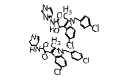 Cc1c(C(=O)C(=O)Nc2ccncc2)c2cc(Cl)ccc2n1Cc1ccc(Cl)cc1.Cc1c(C(=O)C(=O)Nc2ccncn2)c2cc(Cl)ccc2n1Cc1ccc(Cl)cc1